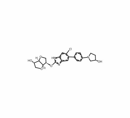 O[C@@H]1CCN(c2ccc(-c3cc4nc(O[C@@H]5CO[C@H]6[C@@H]5OC[C@H]6O)[nH]c4cc3Cl)cc2)C1